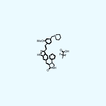 COc1cc(CN2CCCCC2)ccc1/C=C/c1n[nH]c2cc(/C=C3/C(=O)NCC3c3ccccc3)ccc12.O=C(O)C(F)(F)F